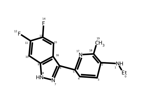 CCNc1ccc(-c2n[nH]c3cc(F)c(F)cc23)nc1C